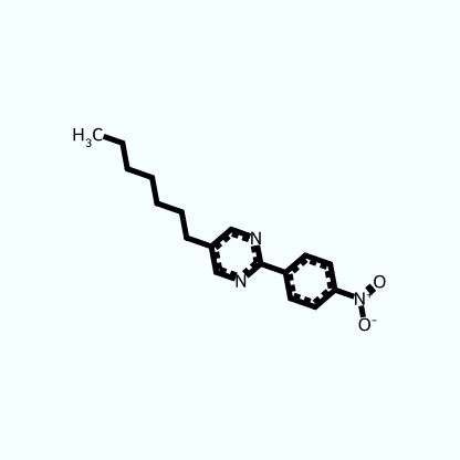 CCCCCCCc1cnc(-c2ccc([N+](=O)[O-])cc2)nc1